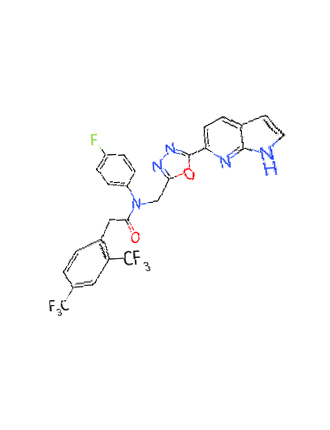 O=C(Cc1ccc(C(F)(F)F)cc1C(F)(F)F)N(Cc1nnc(-c2ccc3cc[nH]c3n2)o1)c1ccc(F)cc1